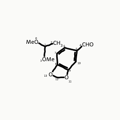 COC(C)OC.O=Cc1ccc2c(c1)OCO2